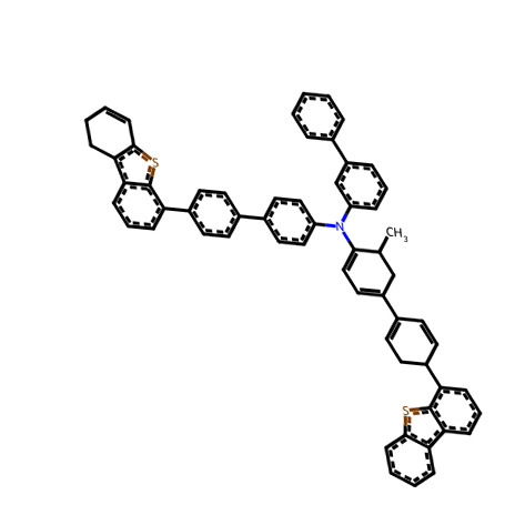 CC1CC(C2=CCC(c3cccc4c3sc3ccccc34)C=C2)=CC=C1N(c1ccc(-c2ccc(-c3cccc4c5c(sc34)C=CCC5)cc2)cc1)c1cccc(-c2ccccc2)c1